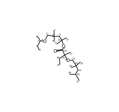 CCC(C)OCC(C)(C)CC(C)(C)OC(=O)C(C)(CC)OCC(C)(C)CC(C)C